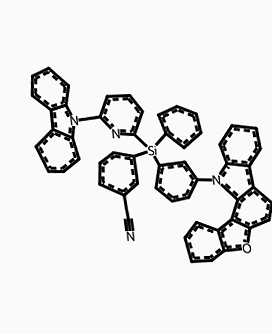 N#Cc1cccc([Si](c2ccccc2)(c2cccc(-n3c4ccccc4c4ccc5oc6ccccc6c5c43)c2)c2cccc(-n3c4ccccc4c4ccccc43)n2)c1